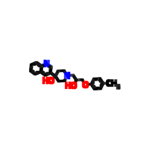 Cc1ccc(OC[C@@H](O)CN2CCC(O)(c3cnc4ccccc4c3)CC2)cc1